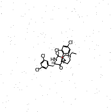 CCN1CCN(C(=O)[C@H](Cc2cc(Cl)cc(Cl)c2)NC(=O)C2(c3ccc(Cl)cc3Cl)CC2)CC1